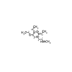 CCOC(CN(CCNC)C(=O)CC)OCC